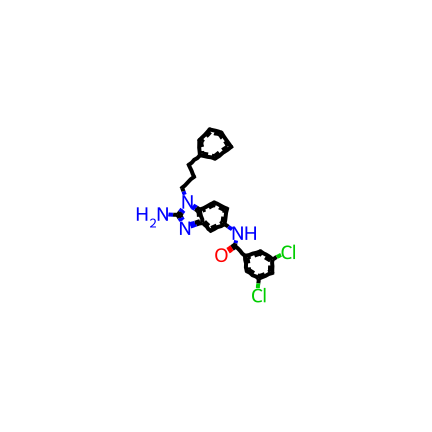 Nc1nc2cc(NC(=O)c3cc(Cl)cc(Cl)c3)ccc2n1CCCc1ccccc1